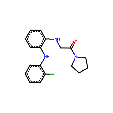 O=C(CNc1ccccc1Nc1ccccc1F)N1CCCC1